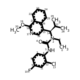 CCN(C(=O)Nc1ccc(F)cc1Cl)[C@@H](c1cnc(OC)c2ccccc12)C(C)C